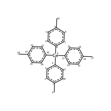 Cc1cc[c]([Ge]([c]2ccc(C)cc2)([c]2ccc(C)cc2)[c]2ccc(C)cc2)cc1